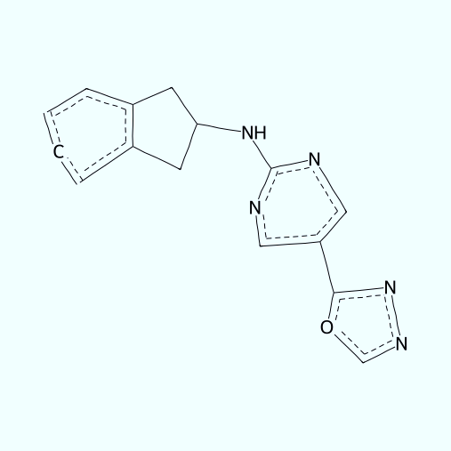 c1ccc2c(c1)CC(Nc1ncc(-c3nnco3)cn1)C2